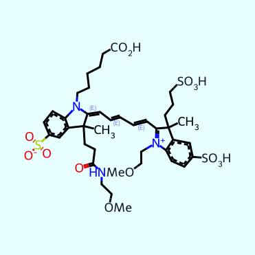 COCCNC(=O)CCC1(C)\C(=C/C=C/C=C/C2=[N+](CCOC)c3ccc(S(=O)(=O)O)cc3C2(C)CCCS(=O)(=O)O)N(CCCCCC(=O)O)c2ccc(S(=O)(=O)[O-])cc21